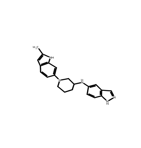 Cc1cc2ccc(N3CCCC(Nc4ccc5[nH]ncc5c4)C3)cc2[nH]1